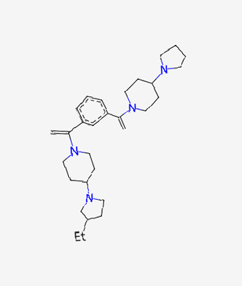 C=C(c1cccc(C(=C)N2CCC(N3CCC(CC)C3)CC2)c1)N1CCC(N2CCCC2)CC1